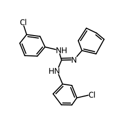 Clc1cccc(NC(=Nc2ccccc2)Nc2cccc(Cl)c2)c1